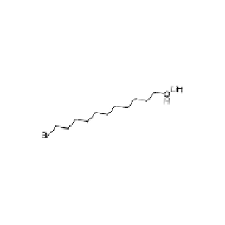 OCCCCCCCCCCCBr.[LiH]